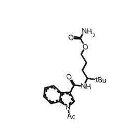 CC(=O)n1cc(C(=O)NC(CCCOC(N)=O)C(C)(C)C)c2ccccc21